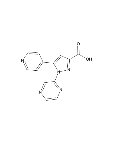 O=C(O)c1cc(-c2ccncc2)n(-c2cnccn2)n1